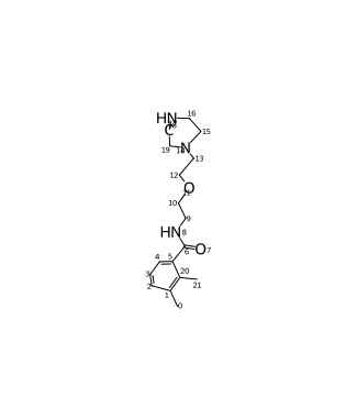 Cc1cccc(C(=O)NCCOCCN2CCNCC2)c1C